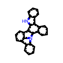 c1ccc2c(c1)[nH]c1c2c2ccccc2c2c1c1cccc3c4ccccc4n2c31